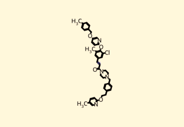 Cc1ccc(COc2ccc(Oc3c(C)cc(/C=C/C(=O)N4CCN(Cc5ccc(CCOc6ccc(C)cn6)cc5)CC4)cc3Cl)nc2)cc1